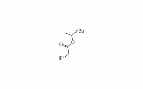 CCCCC(C)OC(=O)CC(C)C